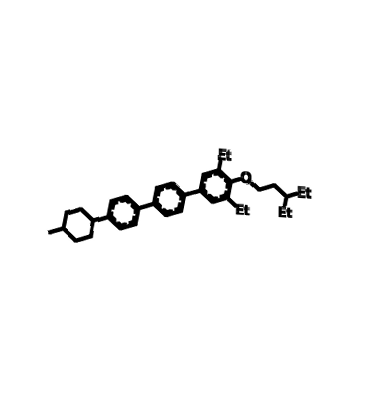 CCc1cc(-c2ccc(-c3ccc(C4CCC(C)CC4)cc3)cc2)cc(CC)c1OCCC(CC)CC